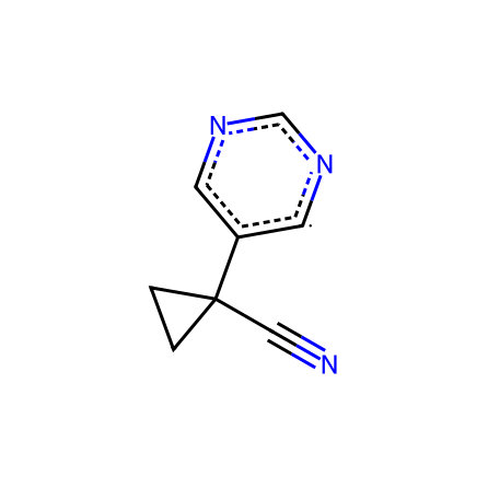 N#CC1(c2[c]ncnc2)CC1